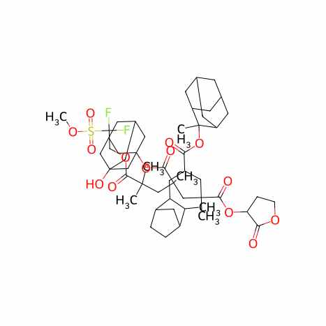 COS(=O)(=O)C(F)(F)COC(=O)C(C)(C)CC(C)(CC(C)(CC(CC1C2CCC(C2)C1C)C(=O)OC1(C)C2CC3CC(C2)CC1C3)C(=O)OC1CCOC1=O)C(=O)OC12CC3CC(CC(O)(C3)C1)C2